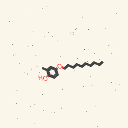 CCCCCCCCCCOc1ccc(O)c(C)c1